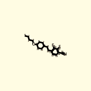 CCCCOC1CCC(CCc2ccc(C#N)c(F)c2F)CC1